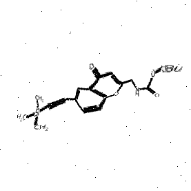 CC(C)(C)OC(=O)NCc1cc(=O)c2cc(C#C[Si](C)(C)C)ccc2o1